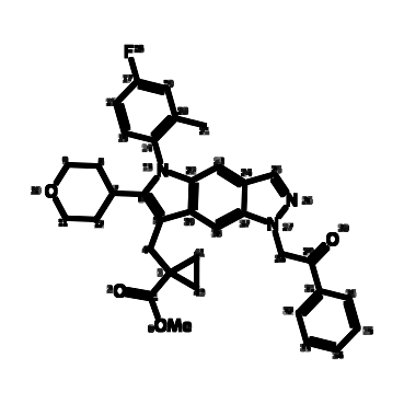 COC(=O)C1(Cc2c(C3CCOCC3)n(-c3ccc(F)cc3C)c3cc4cnn(CC(=O)c5ccccc5)c4cc23)CC1